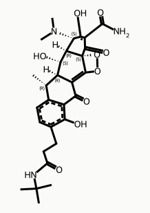 C[C@H]1c2ccc(CCC(=O)NC(C)(C)C)c(O)c2C(=O)C2=C3OO[C@]34C(=O)C(C(N)=O)=C(O)[C@@H](N(C)C)[C@@H]4[C@@H](O)[C@@H]21